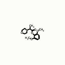 COc1cccc(OC)c1OC(=O)C(C)N1CCOCC1